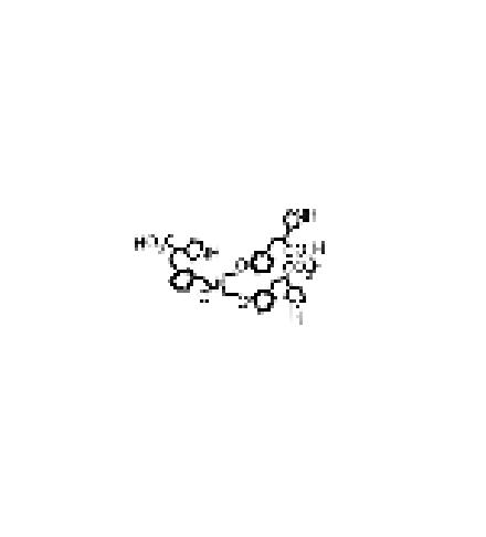 O=C(O)C(Cc1cccc(CC(=O)N(CCOc2cccc(CC(C(=O)O)C3CCNC3)c2)CCOc2cccc(CC(C(=O)O)C3CCNC3)c2)c1)C1CCNC1